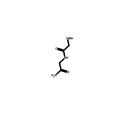 COCC(=O)NCC(N)=O